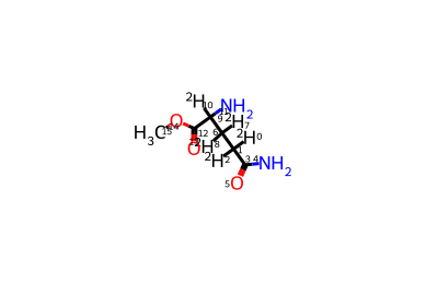 [2H]C([2H])(C(N)=O)C([2H])([2H])C([2H])(N)C(=O)OC